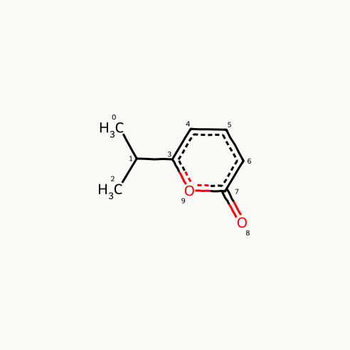 CC(C)c1cccc(=O)o1